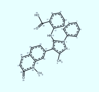 Cc1nn(-c2ccccc2)c(Nc2ccccc2C(=O)O)c1-c1ccc2ncc(=O)n(C)c2c1